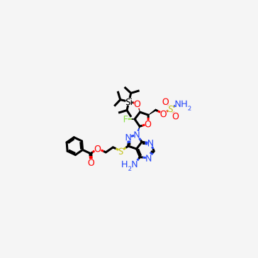 CC(C)[Si](O[C@H]1[C@H](F)[C@H](n2nc(SCCOC(=O)c3ccccc3)c3c(N)ncnc32)O[C@@H]1COS(N)(=O)=O)(C(C)C)C(C)C